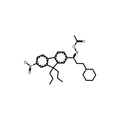 CCCC1(CCC)c2cc(/C(CCC3CCCCC3)=N\OC(C)=O)ccc2-c2ccc([N+](=O)[O-])cc21